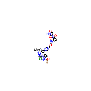 COc1cc(N2CCN(CCOCCNc3cccc4c3C(=O)N(C3CCC(=O)NC3=O)C4=O)CC2)ccc1Nc1ncc(Cl)c(Nc2ccccc2N(C)[SH]=O)n1